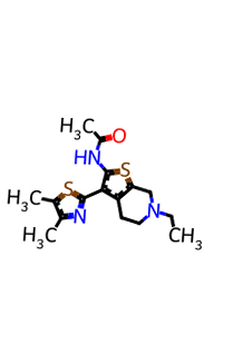 CCN1CCc2c(sc(NC(C)=O)c2-c2nc(C)c(C)s2)C1